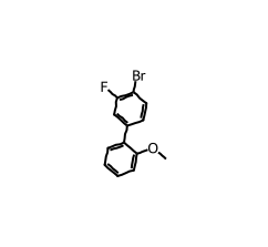 COc1ccccc1-c1ccc(Br)c(F)c1